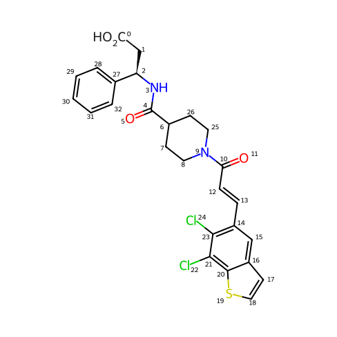 O=C(O)C[C@@H](NC(=O)C1CCN(C(=O)/C=C/c2cc3ccsc3c(Cl)c2Cl)CC1)c1ccccc1